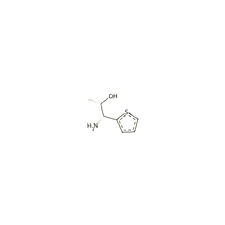 C[C@H](O)[C@@H](N)c1cccs1